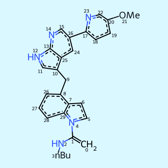 C=C(NCCCC)n1ccc2c(Cc3c[nH]c4ncc(-c5ccc(OC)cn5)cc34)cccc21